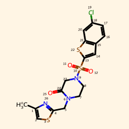 Cc1csc(CN2CCN(S(=O)(=O)c3cc4ccc(Cl)cc4s3)CC2=O)n1